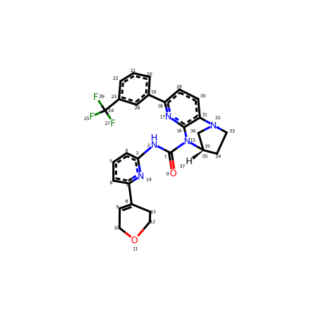 O=C(Nc1cccc(C2=CCOCC2)n1)N1c2nc(-c3cccc(C(F)(F)F)c3)ccc2N2CC[C@H]1C2